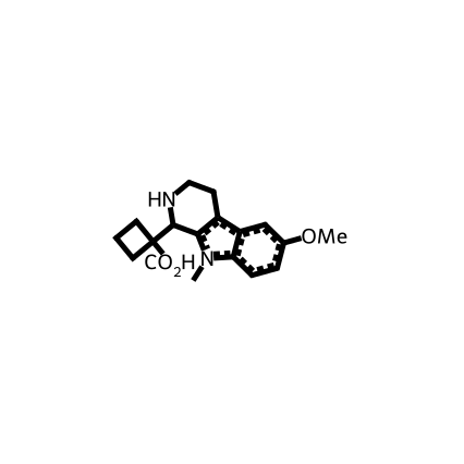 COc1ccc2c(c1)c1c(n2C)C(C2(C(=O)O)CCC2)NCC1